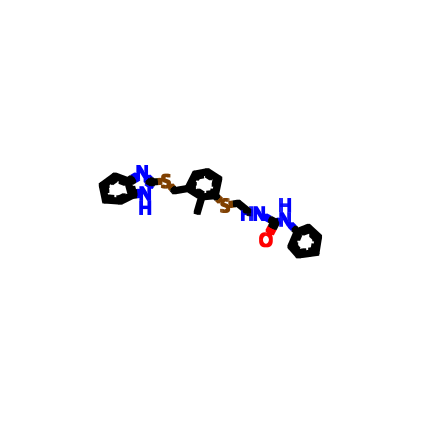 Cc1c(CSc2nc3ccccc3[nH]2)cccc1SCCNC(=O)Nc1ccccc1